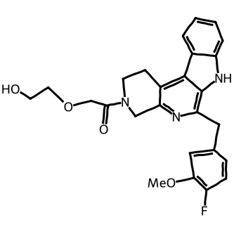 COc1cc(Cc2nc3c(c4c2[nH]c2ccccc24)CCN(C(=O)COCCO)C3)ccc1F